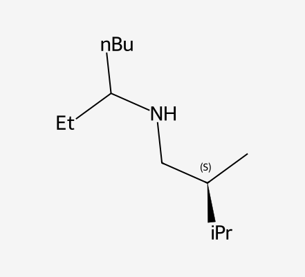 CCCCC(CC)NC[C@@H](C)C(C)C